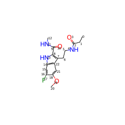 CCC(=O)NCCc1c(C(=O)NC)[nH]c2cc(F)c(OC)cc12